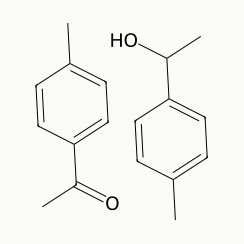 CC(=O)c1ccc(C)cc1.Cc1ccc(C(C)O)cc1